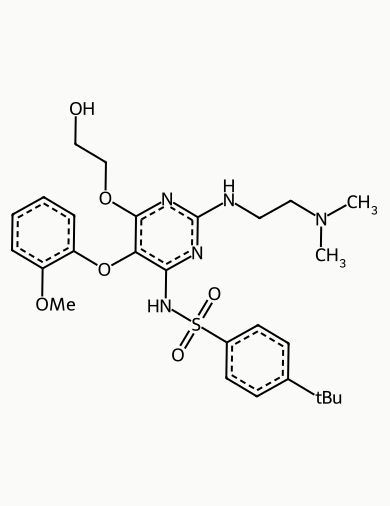 COc1ccccc1Oc1c(NS(=O)(=O)c2ccc(C(C)(C)C)cc2)nc(NCCN(C)C)nc1OCCO